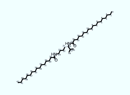 CCCCCCCCCCCCCCCCCC(=O)N[C@@H](CCCCNC(=O)CCCCCCCCCCCCCCC)C(C)C